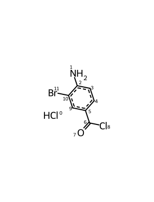 Cl.Nc1ccc(C(=O)Cl)cc1Br